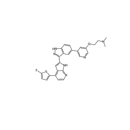 CN(C)CCOc1cncc(-c2ccc3[nH]nc(-c4cc5c(-c6ccc(F)s6)ccnc5[nH]4)c3c2)c1